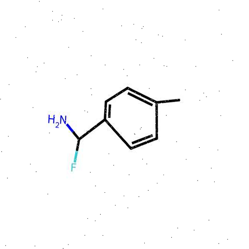 Cc1ccc(C(N)F)cc1